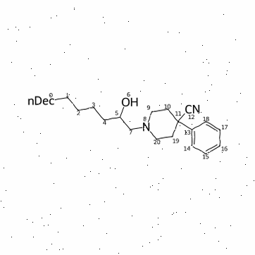 CCCCCCCCCCCCCCC(O)CN1CCC(C#N)(c2ccccc2)CC1